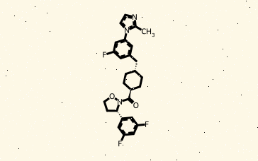 Cc1nccn1-c1cc(F)cc(C[C@H]2CC[C@H](C(=O)N3OCC[C@H]3c3cc(F)cc(F)c3)CC2)c1